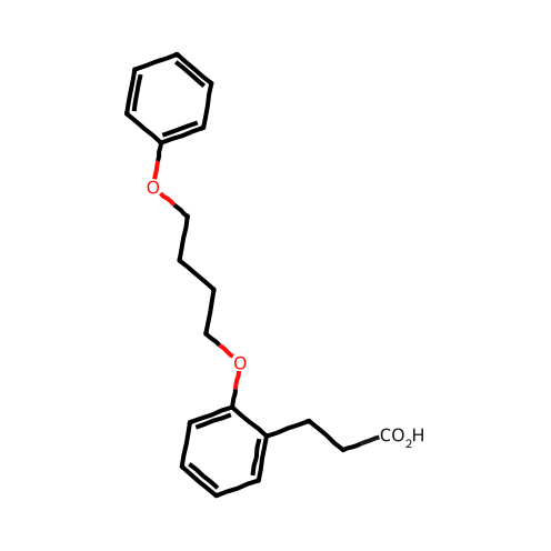 O=C(O)CCc1ccccc1OCCCCOc1ccccc1